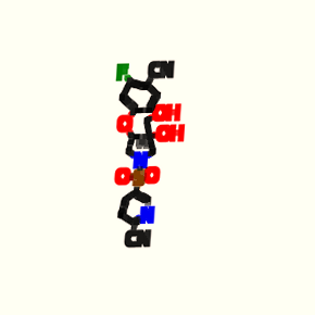 N#Cc1ccc(S(=O)(=O)N2CC(Oc3ccc(C#N)c(F)c3)[C@](O)(CO)C2)cn1